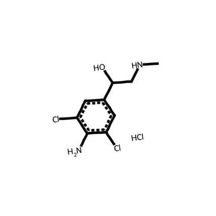 CNCC(O)c1cc(Cl)c(N)c(Cl)c1.Cl